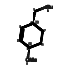 CO[C@@H]1C=C[C@H](CC(C)(C)C)CC1